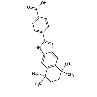 CC1(C)CCC(C)(C)c2cc3[nH]c(-c4ccc(C(=O)O)cc4)cc3cc21